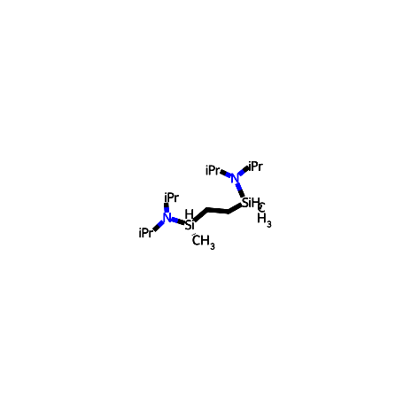 CC(C)N(C(C)C)[SiH](C)CC[SiH](C)N(C(C)C)C(C)C